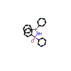 O=P(NP(c1ccccc1)c1ccccc1)(c1ccccc1)c1ccccc1